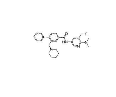 CN(C)c1ncc(NC(=O)c2ccc(-c3ccccc3)c(CN3CCCCC3)c2)cc1CF